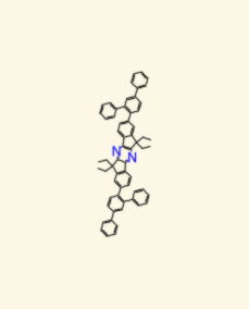 CCC1(CC)c2cc(-c3ccc(-c4ccccc4)cc3-c3ccccc3)ccc2-c2nc3c(nc21)-c1ccc(-c2ccc(-c4ccccc4)cc2-c2ccccc2)cc1C3(CC)CC